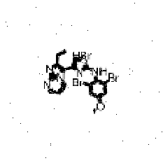 Br.CCc1nc2ncccn2c1-c1csc(Nc2c(Br)cc(OC)cc2Br)n1